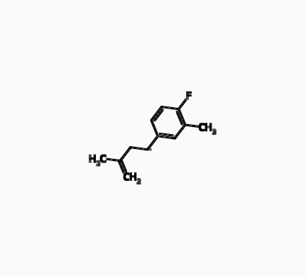 C=C(C)C[CH]c1ccc(F)c(C)c1